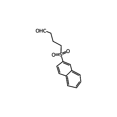 O=CCCCS(=O)(=O)c1ccc2ccccc2c1